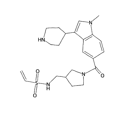 C=CS(=O)(=O)NCC1CCN(C(=O)c2ccc3c(c2)c(C2CCNCC2)cn3C)C1